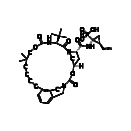 C=C[C@@H]1C[C@]1(NC(=O)[C@@H]1C[C@@H]2CN1C(=O)[C@H](C(C)(C)C)NC(=O)OCC(C)(C)CCCCc1cccc3c1CN(C3)C(=O)O2)P(=O)(O)O